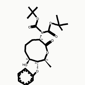 C[C@@H]1OC(=O)[C@@H](N(C(=O)OC(C)(C)C)C(=O)OC(C)(C)C)CCC[C@H](O)[C@H]1Oc1ccccc1